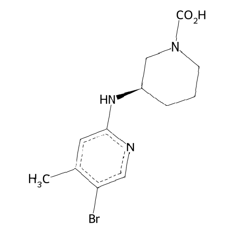 Cc1cc(N[C@@H]2CCCN(C(=O)O)C2)ncc1Br